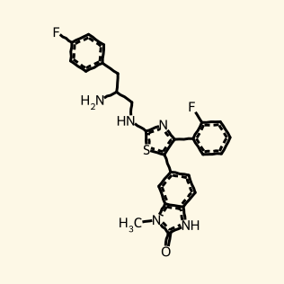 Cn1c(=O)[nH]c2ccc(-c3sc(NCC(N)Cc4ccc(F)cc4)nc3-c3ccccc3F)cc21